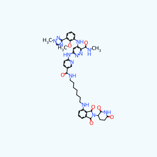 CNC(=O)c1nnc(Nc2ccc(C(=O)NCCCCCCCNc3cccc4c3C(=O)N(C3CCC(=O)NC3=O)C4=O)cn2)cc1Nc1cccc(-c2ncn(C)n2)c1OC